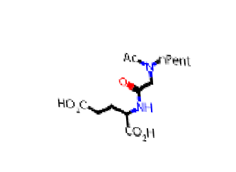 CCCCCN(CC(=O)NC(CCC(=O)O)C(=O)O)C(C)=O